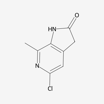 Cc1nc(Cl)cc2c1NC(=O)C2